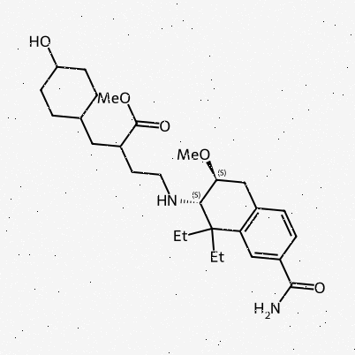 CCC1(CC)c2cc(C(N)=O)ccc2C[C@H](OC)[C@H]1NCCC(CC1CCC(O)CC1)C(=O)OC